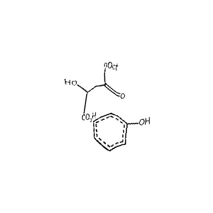 CCCCCCCCC(=O)C(O)C(=O)O.Oc1ccccc1